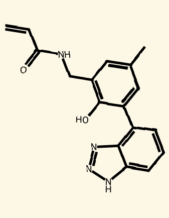 C=CC(=O)NCc1cc(C)cc(-c2cccc3[nH]nnc23)c1O